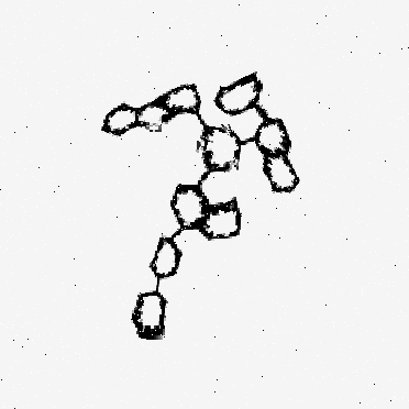 c1ccc(-c2ccc(-c3ccc(-c4nc(-c5c(-c6ccccc6)ccc6ccccc56)nc(-c5cccc6c5oc5ccccc56)n4)c4ccccc34)cc2)cc1